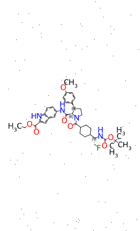 CCOC(=O)c1cc2cc(NC(=O)[C@H]3[C@@H](c4ccc(OC)cc4)CCN3C(=O)C3CCC([C@@H](CF)NC(=O)OC(C)(C)C)CC3)ccc2[nH]1